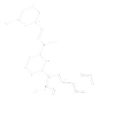 O=C(/C=C/c1cccc(O)c1)c1cccc(-n2cc(-c3cccnc3)[nH]c2=O)c1